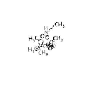 CCCCCNC(=O)Oc1cc(C)c([S+](C)CC)cc1C.CCOS(=O)(=O)[O-]